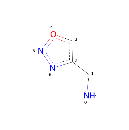 [NH]Cc1conn1